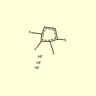 F.F.F.Fc1ccc([S])c(F)c1F